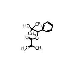 C=C(C)C(=O)OC(c1ccccc1)C(C)(O)C(F)(F)F